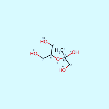 C[C@](O)(CO)OC(CO)CO